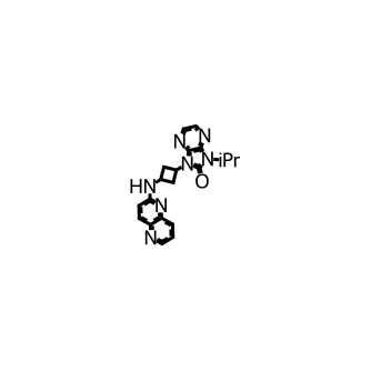 CC(C)n1c(=O)n(C2CC(Nc3ccc4ncccc4n3)C2)c2nccnc21